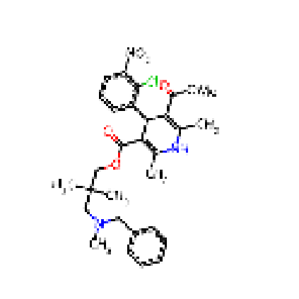 COC(=O)C1=C(C)NC(C)=C(C(=O)OCC(C)(C)CN(C)Cc2ccccc2)C1c1cccc([N+](=O)[O-])c1Cl